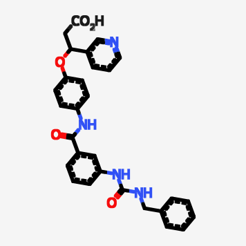 O=C(O)CC(Oc1ccc(NC(=O)c2cccc(NC(=O)NCc3ccccc3)c2)cc1)c1cccnc1